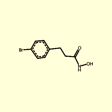 O=C(CCc1ccc(Br)cc1)NO